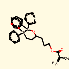 C=C(C)C(=O)OCCCC1CC[Si](c2ccccc2)(c2ccccc2)[Si](c2ccccc2)(c2ccccc2)O1